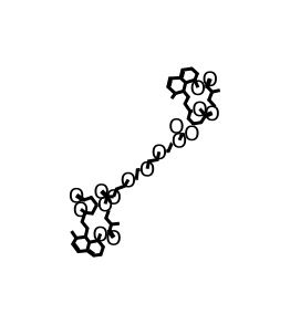 CCC(C)C(=O)OC1CCC=C2C=CC(C)C(CCC3CC(OC(=O)OCCOCCOCCOCCOC(=O)OC4CC(=O)OC(CCC5C(C)C=CC6=CCCC(OC(=O)C(C)CC)C65)C4)CC(=O)O3)C21